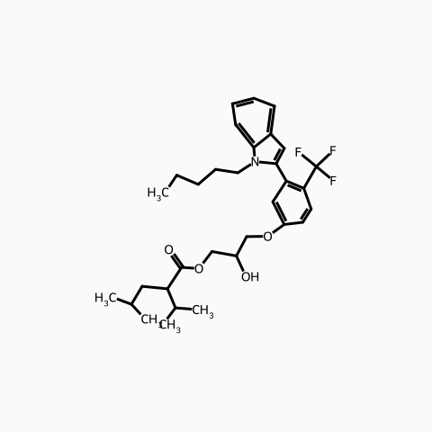 CCCCCn1c(-c2cc(OCC(O)COC(=O)C(CC(C)C)C(C)C)ccc2C(F)(F)F)cc2ccccc21